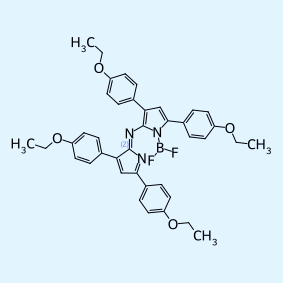 CCOc1ccc(C2=CC(c3ccc(OCC)cc3)=N/C2=N\c2c(-c3ccc(OCC)cc3)cc(-c3ccc(OCC)cc3)n2B(F)F)cc1